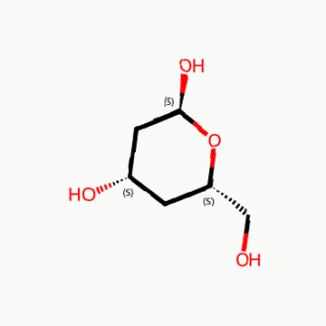 OC[C@@H]1C[C@H](O)C[C@@H](O)O1